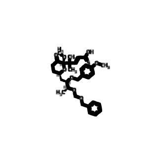 COc1ccc(CO[C@H](C[C@@H]2CCC(=O)[C@](OC)(C(C)(C)C=CC(O)=S)O2)[C@@H](C)OCOCc2ccccc2)cc1